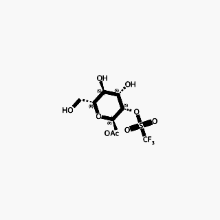 CC(=O)O[C@H]1O[C@H](CO)[C@@H](O)[C@H](O)[C@@H]1OS(=O)(=O)C(F)(F)F